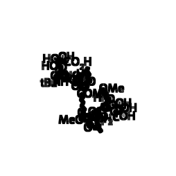 C=C1C[C@H]2C(O)N(C(=O)OCc3ccc(O[C@@H]4O[C@H](C(=O)O)[C@@H](O)[C@H](O)[C@H]4O)c(C(=O)NCCOC)c3)c3cc(OCCCCCOc4cc5c(cc4OC)C(=O)N4CC(=C)C[C@H]4C(O)N5C(=O)OCc4ccc(O[C@@H]5O[C@H](C(=O)O)[C@@H](O)[C@H](O)[C@H]5O)c(C(=O)NC(C)(C)C)c4)c(OC)cc3C(=O)N2C1